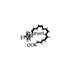 CCCCC/C=C\C/C=C\C/C=C\C/C=C\CCCC(=O)[O-].CC[N+](CC)(CC)CC